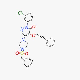 O=c1c(OCC#Cc2ccccc2)c(N2CCN(S(=O)(=O)Cc3ccccc3)CC2)cnn1-c1cccc(Cl)c1